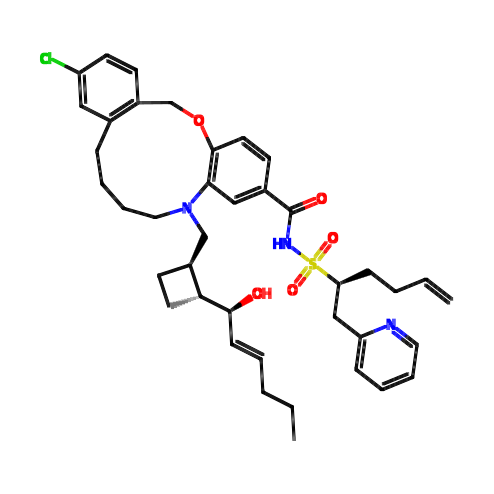 C=CCC[C@@H](Cc1ccccn1)S(=O)(=O)NC(=O)c1ccc2c(c1)N(C[C@@H]1CC[C@H]1[C@@H](O)/C=C/CCC)CCCCc1cc(Cl)ccc1CO2